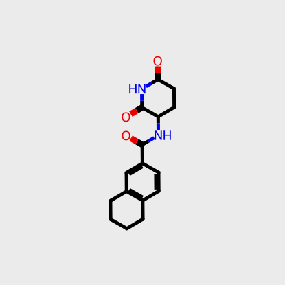 O=C1CCC(NC(=O)c2ccc3c(c2)CCCC3)C(=O)N1